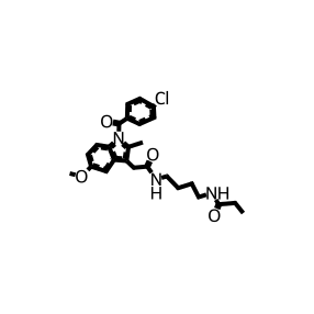 CCC(=O)NCCCCNC(=O)Cc1c(C)n(C(=O)c2ccc(Cl)cc2)c2ccc(OC)cc12